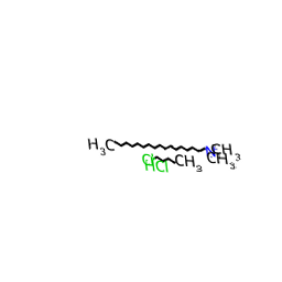 CCCCCCCCCCCCCCCCCCN(C)C.CCCCCCl.Cl